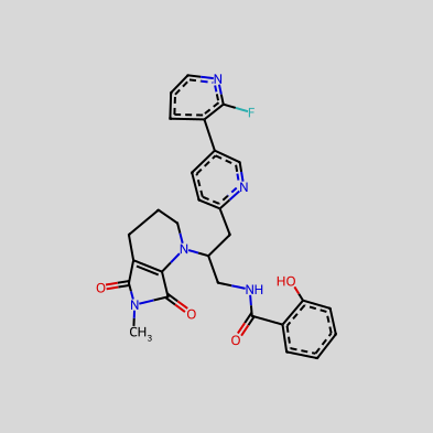 CN1C(=O)C2=C(C1=O)N(C(CNC(=O)c1ccccc1O)Cc1ccc(-c3cccnc3F)cn1)CCC2